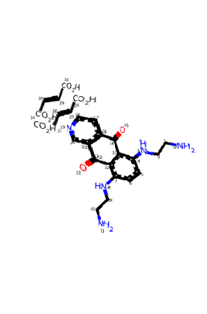 NCCNc1ccc(NCCN)c2c1C(=O)c1ccncc1C2=O.O=C(O)C=CC(=O)O.O=C(O)C=CC(=O)O